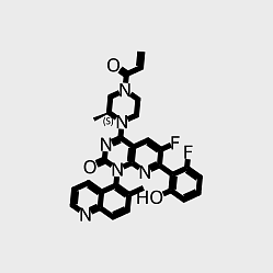 C=CC(=O)N1CCN(c2nc(=O)n(-c3c(C)ccc4ncccc34)c3nc(-c4c(O)cccc4F)c(F)cc23)[C@@H](C)C1